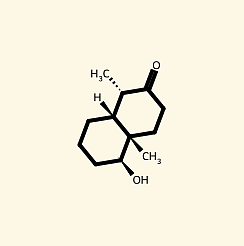 C[C@@H]1C(=O)CC[C@@]2(C)[C@@H]1CCC[C@@H]2O